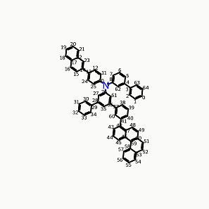 c1ccc(-c2cccc(N(c3ccc(-c4ccc5ccccc5c4)cc3)c3cc(-c4ccccc4)cc(-c4cccc(-c5cccc6c5ccc5ccc7ccccc7c56)c4)c3)c2)cc1